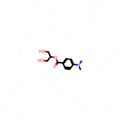 CN(C)c1c#cc(C(=O)OC(CO)CO)cc1